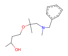 CC(O)CCOC(C)(C)CN(C)Cc1ccccc1